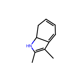 CC1=C(C)C2=CC=CCC2N1